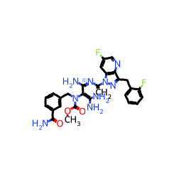 C=C(/N=C(/N)C(=C(N)N)N(Cc1cccc(C(N)=O)c1)C(=O)OC)n1nc(Cc2ccccc2F)c2ncc(F)cc21